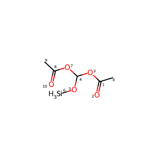 CC(=O)OC(O[SiH3])OC(C)=O